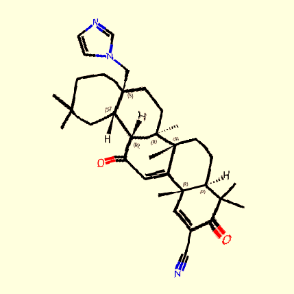 CC1(C)CC[C@]2(Cn3ccnc3)CC[C@]3(C)[C@H](C(=O)C=C4[C@@]5(C)C=C(C#N)C(=O)C(C)(C)[C@@H]5CC[C@]43C)[C@@H]2C1